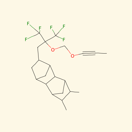 CC#COCOC(CC1CC2CC1C1C3CC(C(C)C3C)C21)(C(F)(F)F)C(F)(F)F